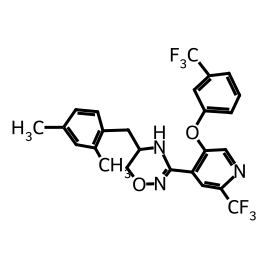 Cc1ccc(CC2CON=C(c3cc(C(F)(F)F)ncc3Oc3cccc(C(F)(F)F)c3)N2)c(C)c1